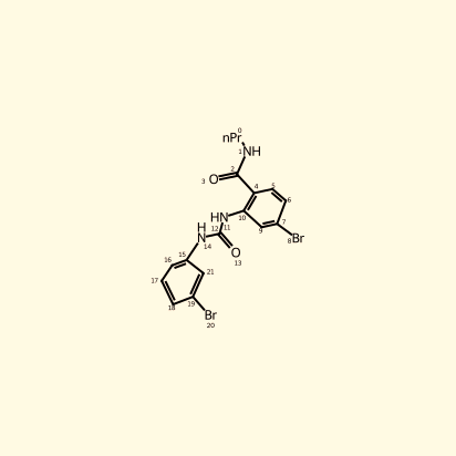 CCCNC(=O)c1ccc(Br)cc1NC(=O)Nc1cccc(Br)c1